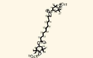 CCCCCCCCON1C(C)(C)CC(OC(=O)CCCCCCCCC[O][Co](=[O])[CH]2CC(C)(C)N(OCCCCCCCC)C(C)(C)C2)CC1(C)C